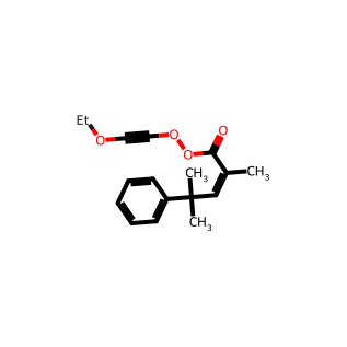 CCOC#COOC(=O)/C(C)=C\C(C)(C)c1ccccc1